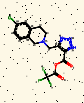 O=C(OC(=O)C(F)(F)F)c1[nH]nnc1CN1CCc2cc(Cl)ccc2C1